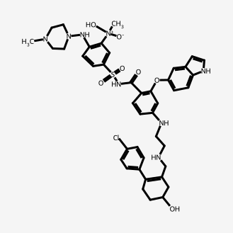 CN1CCN(Nc2ccc(S(=O)(=O)NC(=O)c3ccc(NCCNCC4=C(c5ccc(Cl)cc5)CCC(O)C4)cc3Oc3ccc4[nH]ccc4c3)cc2[N+](C)([O-])O)CC1